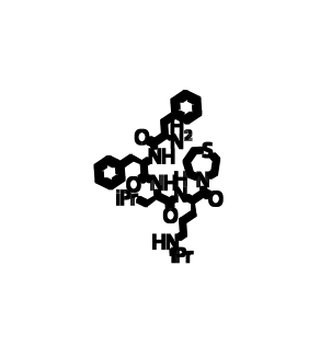 CC(C)C[C@@H](NC(=O)[C@@H](Cc1ccccc1)NC(=O)[C@H](N)Cc1ccccc1)C(=O)N[C@H](CCCNC(C)C)C(=O)N1CCCSCC1